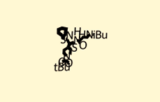 CCC(C)NCCC(=O)Nc1sc2c(c1-c1nc3ccccc3s1)CCN(C(=O)OC(C)(C)C)C2